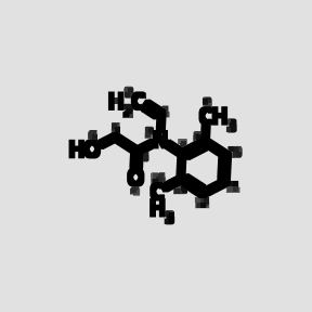 C=CN(C(=O)CO)c1c(C)cccc1C